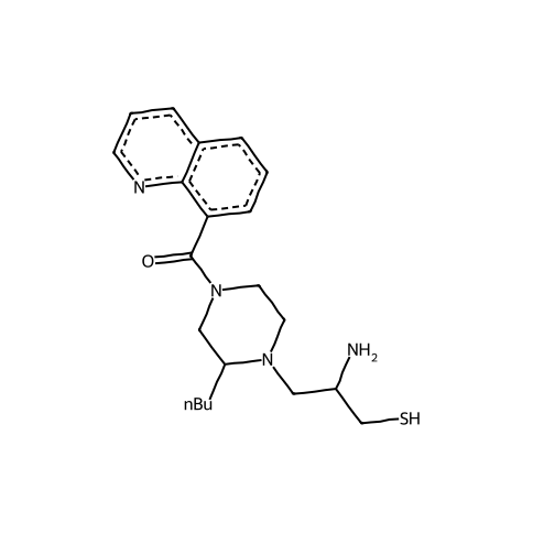 CCCCC1CN(C(=O)c2cccc3cccnc23)CCN1CC(N)CS